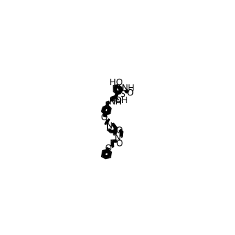 O=C(CCOc1ccccc1)N1CCOC2(CCN(CCOc3ccc(CNC[C@H](O)c4ccc(O)c5[nH]c(=O)sc45)cc3)CC2)C1